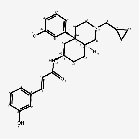 O=C(C=Cc1cccc(O)c1)N[C@@H]1CC[C@@H]2CN(CC3CC3)CC[C@@]2(c2cccc(O)c2)C1